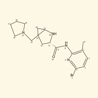 Cc1ccc(Br)nc1NC(=O)[C@@H]1CC2(CN3CCCC3)CC2N1